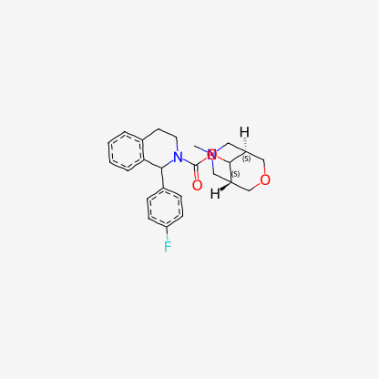 CN1C[C@H]2COC[C@H](C1)C2OC(=O)N1CCc2ccccc2C1c1ccc(F)cc1